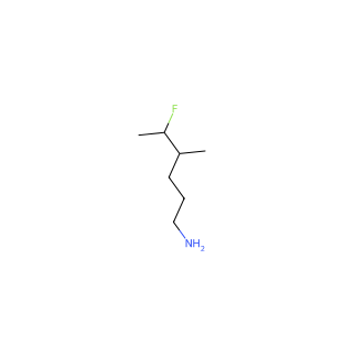 CC(F)C(C)CCCN